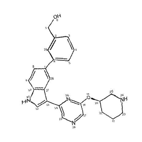 OCc1cccc(-c2ccc3[nH]cc(-c4cncc(O[C@@H]5CCCNC5)n4)c3c2)c1